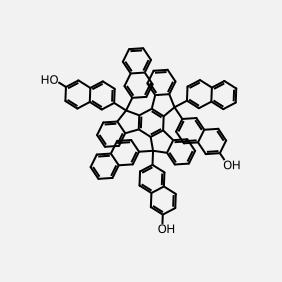 Oc1ccc2cc(C3(c4ccc5ccccc5c4)c4ccccc4-c4c3c3c(c5c4C(c4ccc6ccccc6c4)(c4ccc6cc(O)ccc6c4)c4ccccc4-5)C(c4ccc5ccccc5c4)(c4ccc5cc(O)ccc5c4)c4ccccc4-3)ccc2c1